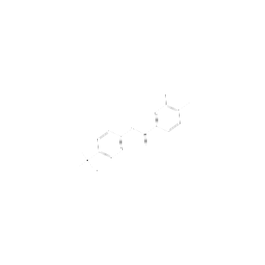 Cc1ccc(C(=O)Nc2ccc(C(F)(F)P)cc2)cc1I